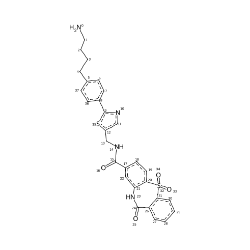 NCCCCc1ccc(-c2ncc(CNC(=O)c3ccc4c(c3)NC(=O)c3ccccc3S4(=O)=O)s2)cc1